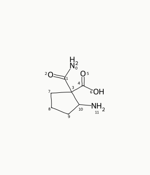 NC(=O)C1(C(=O)O)CCCC1N